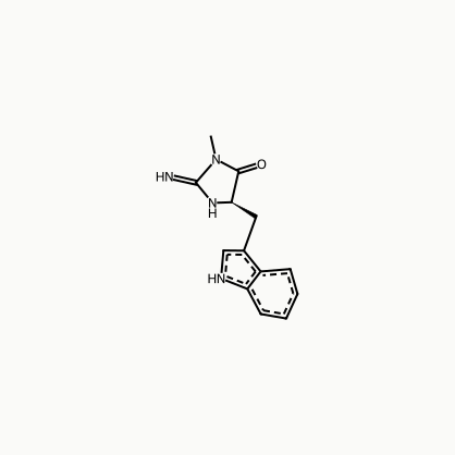 CN1C(=N)N[C@H](Cc2c[nH]c3ccccc23)C1=O